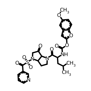 COc1ccc2oc(OC(=O)NC(CC(C)C)C(=O)N3CCC4C3C(=O)CN4S(=O)(=O)C(=O)c3cccnc3)cc2c1